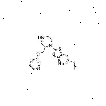 FCc1cnc2nc(N3CCNCC3COc3cccnc3)sc2c1